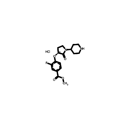 COC(=O)c1ccc(O[C@H]2CCN(C3CCNCC3)C2=O)c(F)c1.Cl